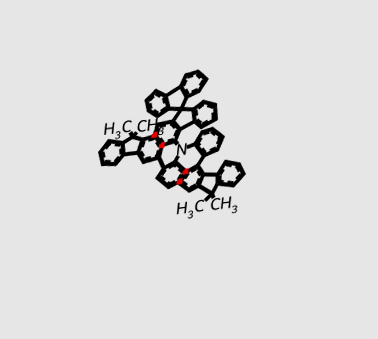 CC1(C)c2ccccc2-c2cc(-c3ccccc3N(c3ccccc3-c3cccc4c3-c3ccccc3C4(C)C)c3cccc4c3-c3ccccc3C43c4ccccc4-c4ccccc43)ccc21